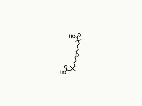 CC(C)(CCCCOCCCCC(C)(C)C(=O)O)CC(=O)O